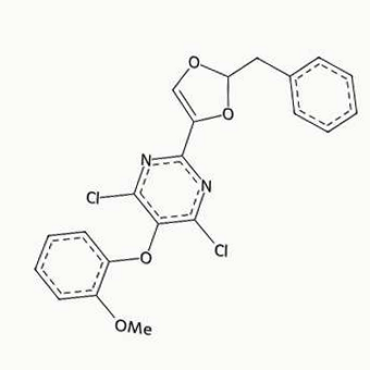 COc1ccccc1Oc1c(Cl)nc(C2=COC(Cc3ccccc3)O2)nc1Cl